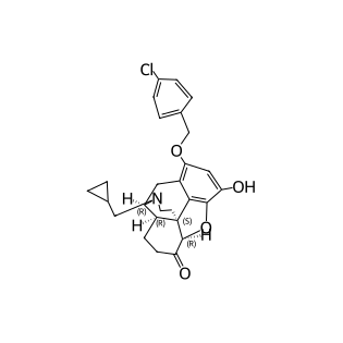 O=C1CC[C@H]2[C@H]3Cc4c(OCc5ccc(Cl)cc5)cc(O)c5c4[C@@]2(CCN3CC2CC2)[C@H]1O5